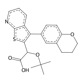 CC(C)(C)OC(C(=O)O)c1sc2ncccc2c1-c1ccc2c(c1)CCCO2